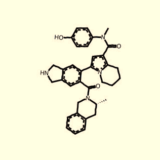 C[C@@H]1Cc2ccccc2CN1C(=O)c1cc2c(cc1-c1cc(C(=O)N(C)c3ccc(O)cc3)c3n1CCCC3)CNC2